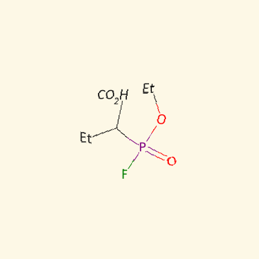 CCOP(=O)(F)C(CC)C(=O)O